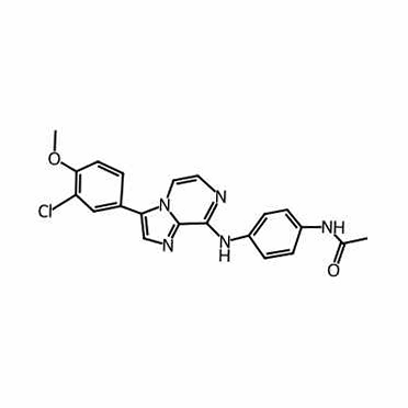 COc1ccc(-c2cnc3c(Nc4ccc(NC(C)=O)cc4)nccn23)cc1Cl